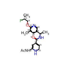 CC(=O)NC1=CC(C(=O)NC(C)c2cnc(OC[C@@H](C)F)c(C)c2)=CCN1